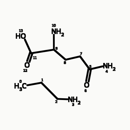 CCCN.NC(=O)CCC(N)C(=O)O